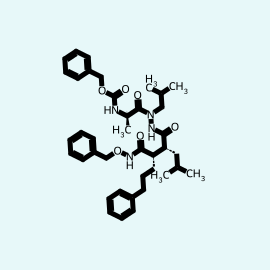 CC(C)C[C@@H](C(=O)NN(CC(C)C)C(=O)[C@@H](C)NC(=O)OCc1ccccc1)[C@H](CCCc1ccccc1)C(=O)NOCc1ccccc1